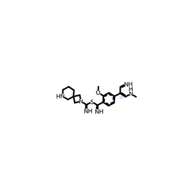 CN/C=C(\C=N)c1ccc(C(=N)SC(=N)N2CC3(CCCNC3)C2)c(OC)c1